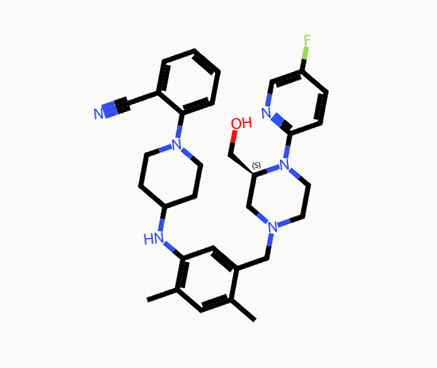 Cc1cc(C)c(NC2CCN(c3ccccc3C#N)CC2)cc1CN1CCN(c2ccc(F)cn2)[C@H](CO)C1